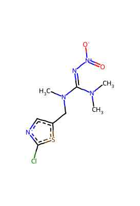 CN(C)/C(=N\[N+](=O)[O-])N(C)Cc1cnc(Cl)s1